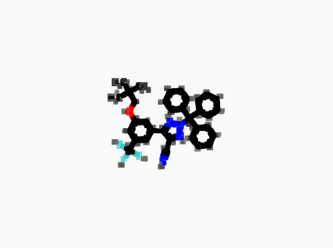 CC(C)(C)COc1cc(-c2nn(C(c3ccccc3)(c3ccccc3)c3ccccc3)nc2C#N)cc(C(F)(F)F)c1